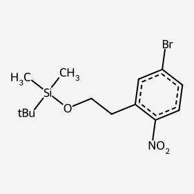 CC(C)(C)[Si](C)(C)OCCc1cc(Br)ccc1[N+](=O)[O-]